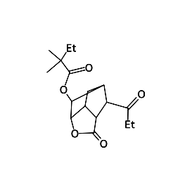 CCC(=O)C1C2CC3C(OC(=O)C31)C2OC(=O)C(C)(C)CC